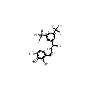 O=C(N/N=C\c1ccc(O)c(O)c1O)c1cc(C(F)(F)F)cc(C(F)(F)F)c1